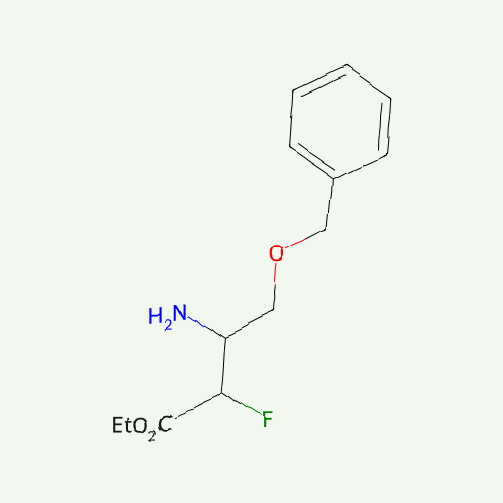 CCOC(=O)C(F)C(N)COCc1ccccc1